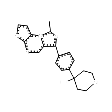 Cc1nc(-c2ccc(C3(O)CCNCC3)cc2)c2cnc3[nH]ccc3n12